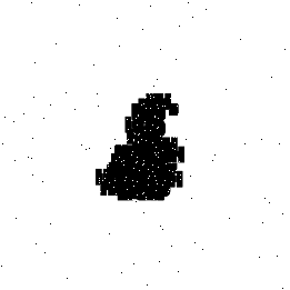 CCCCCOC(=O)Nc1nc(=O)n([C@@H]2O[C@H](C)[C@@H](O)[C@H]2O)cc1F.Nc1ccn([C@@H]2O[C@H](CO)[C@@H](O)C2(F)F)c(=O)n1.Nc1ccn([C@@H]2O[C@H](CO)[C@@H](O)[C@@H]2O)c(=O)n1.Nc1nc(F)nc2c1ncn2[C@@H]1O[C@H](CO)[C@@H](O)[C@@H]1O